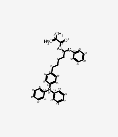 C=C(C)C(=O)OC(CCCCc1ccc(N(c2ccccc2)c2ccccc2)cc1)Oc1ccccc1